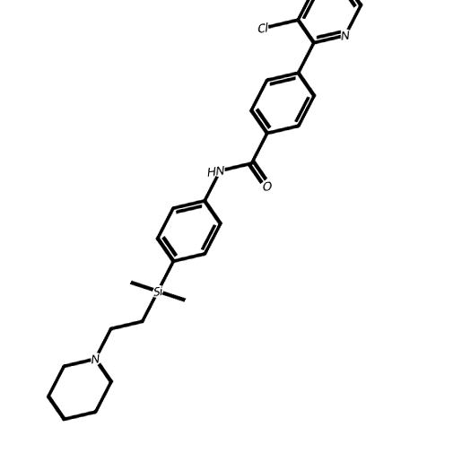 C[Si](C)(CCN1CCCCC1)c1ccc(NC(=O)c2ccc(-c3ncccc3Cl)cc2)cc1